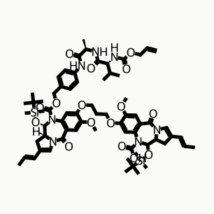 C=CCOC(=O)N[C@@H](C(=O)N[C@H](C)C(=O)Nc1ccc(COC(=O)N2c3cc(OCCCOc4cc5c(cc4OC)C(=O)N4C=C(/C=C/C)CC4C(O[Si](C)(C)C(C)(C)C)N5C(=O)O)c(OC)cc3C(=O)N3C=C(/C=C/C)C[C@H]3[C@@H]2O[Si](C)(C)C(C)(C)C)cc1)C(C)C